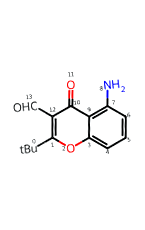 CC(C)(C)c1oc2cccc(N)c2c(=O)c1C=O